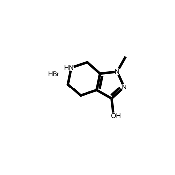 Br.Cn1nc(O)c2c1CNCC2